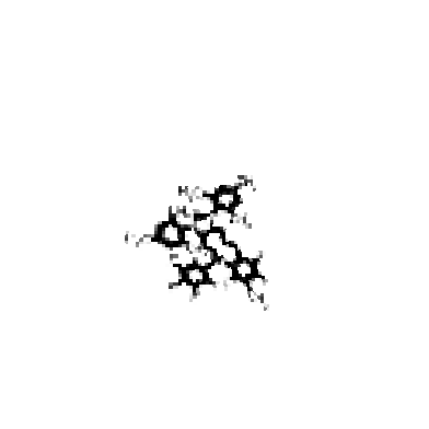 Cc1cc(C)c(N2C=[N+](c3c(C)cc(C)cc3C)C(CCCc3c(F)c(F)c(C)c(F)c3F)C2CCCc2c(F)c(F)c(F)c(F)c2F)c(C)c1